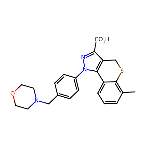 Cc1cccc2c1SCc1c(C(=O)O)nn(-c3ccc(CN4CCOCC4)cc3)c1-2